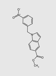 COC(=O)c1ccc2c(ccn2Cc2cccc([N+](=O)[O-])c2)c1